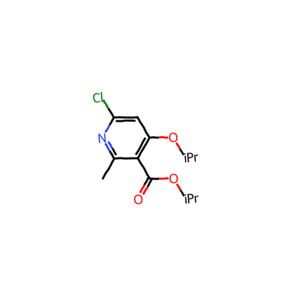 Cc1nc(Cl)cc(OC(C)C)c1C(=O)OC(C)C